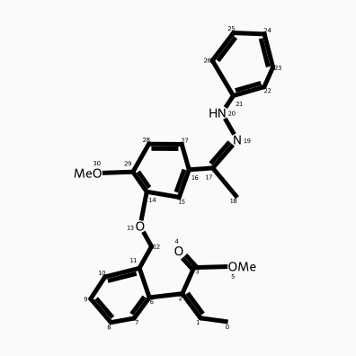 CC=C(C(=O)OC)c1ccccc1COc1cc(/C(C)=N\Nc2ccccc2)ccc1OC